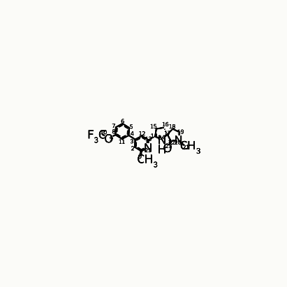 Cc1cc(-c2cccc(OC(F)(F)F)c2)cc([C@H]2CC[C@@]3(CCN(C)C3=O)N2)n1